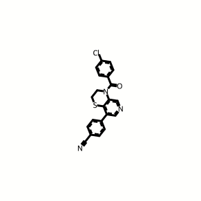 N#Cc1ccc(-c2cncc3c2SCCN3C(=O)c2ccc(Cl)cc2)cc1